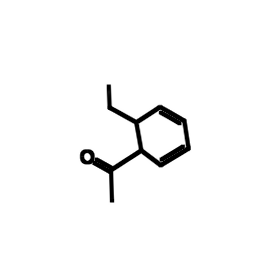 CCC1C=CC=CC1C(C)=O